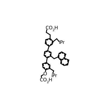 CC(C)Cc1cc(-c2ccc(-c3ccc(OCC(=O)O)c(CC(C)C)c3)c(Cc3cccc4ccccc34)c2)ccc1CCC(=O)O